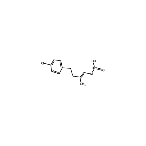 CC(=CN[PH](=O)O)SCc1ccc(Cl)cc1